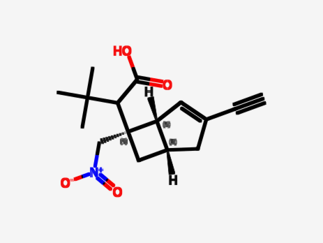 C#CC1=C[C@@H]2[C@H](C1)C[C@@]2(C[N+](=O)[O-])C(C(=O)O)C(C)(C)C